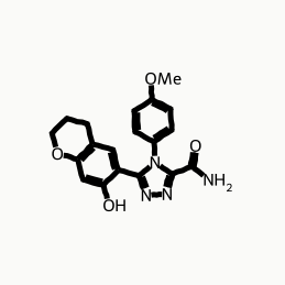 COc1ccc(-n2c(C(N)=O)nnc2-c2cc3c(cc2O)OCCC3)cc1